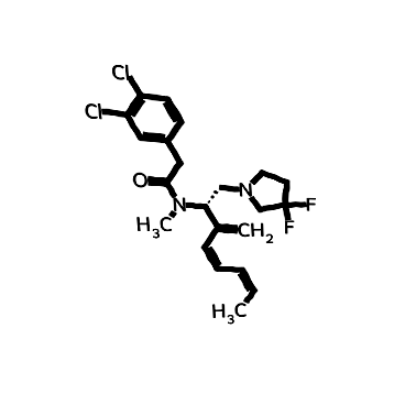 C=C(/C=C\C=C/C)[C@@H](CN1CCC(F)(F)C1)N(C)C(=O)Cc1ccc(Cl)c(Cl)c1